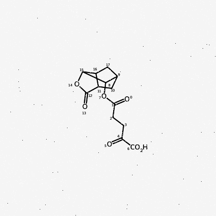 O=C(CCC(=O)C(=O)O)OC1C2CC3C(=O)OC1C3C2